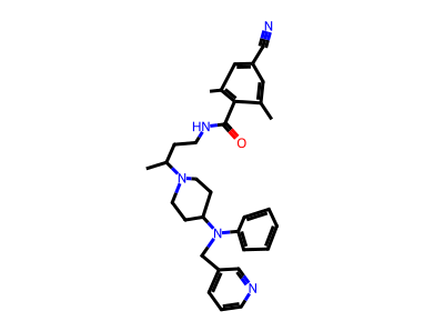 Cc1cc(C#N)cc(C)c1C(=O)NCCC(C)N1CCC(N(Cc2cccnc2)c2ccccc2)CC1